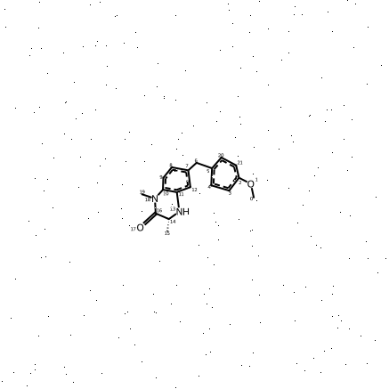 COc1ccc(Cc2ccc3c(c2)N[C@H](C)C(=O)N3C)cc1